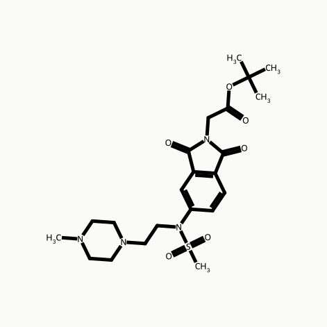 CN1CCN(CCN(c2ccc3c(c2)C(=O)N(CC(=O)OC(C)(C)C)C3=O)S(C)(=O)=O)CC1